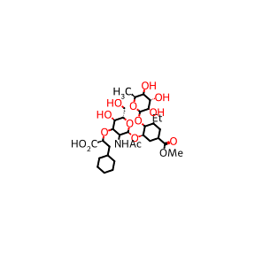 CC[C@@H]1CC(C(=O)OC)C[C@@H](O[C@@H]2O[C@@H](CO)[C@H](O)C(O[C@@H](CC3CCCCC3)C(=O)O)C2NC(C)=O)C1OC1O[C@@H](C)C(O)[C@H](O)[C@@H]1O